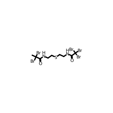 CC(Br)(Br)C(=O)NCCSCCNC(=O)C(Br)(Br)Br